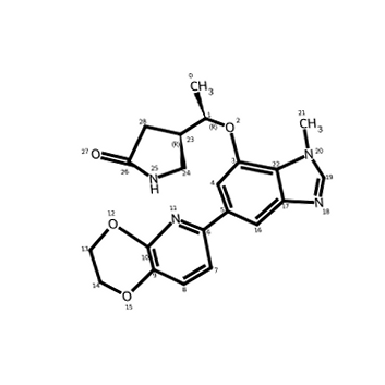 C[C@@H](Oc1cc(-c2ccc3c(n2)OCCO3)cc2ncn(C)c12)[C@H]1CNC(=O)C1